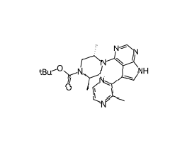 Cc1nccnc1-c1c[nH]c2ncnc(N3C[C@@H](C)N(C(=O)OC(C)(C)C)C[C@@H]3C)c12